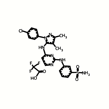 Cc1nn(-c2ccc(Cl)cc2)c(Nc2ccnc(Nc3cccc(S(N)(=O)=O)c3)n2)c1C.O=C(O)C(F)(F)F